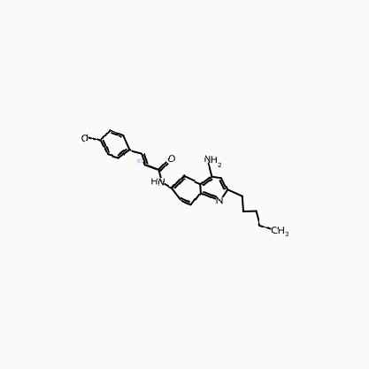 CCCCCc1cc(N)c2cc(NC(=O)/C=C/c3ccc(Cl)cc3)ccc2n1